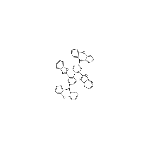 c1ccc2c(c1)Oc1ccccc1N2c1ccc(-c2ccc(N3c4ccccc4Oc4ccccc43)cc2-c2nc3cccnc3o2)c(-c2nc3cccnc3o2)c1